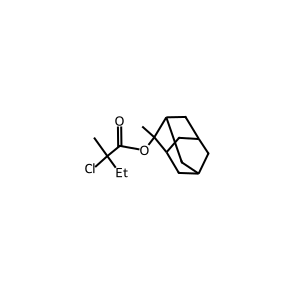 CCC(C)(Cl)C(=O)OC1(C)C2CC3CC(C2)CC1C3